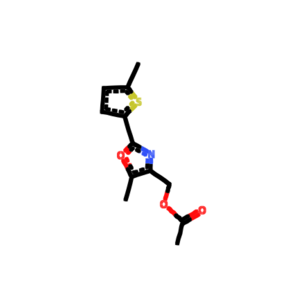 CC(=O)OCc1nc(-c2ccc(C)s2)oc1C